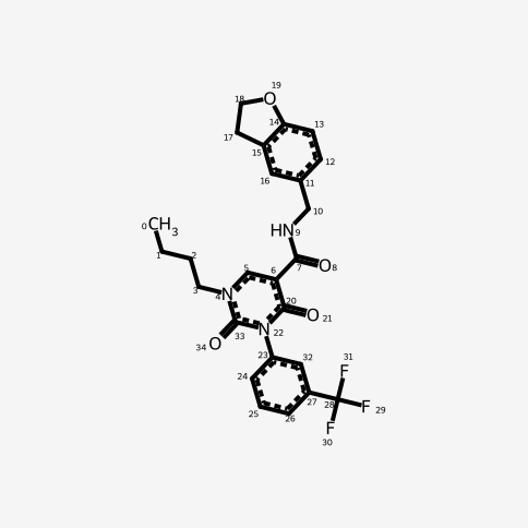 CCCCn1cc(C(=O)NCc2ccc3c(c2)CCO3)c(=O)n(-c2cccc(C(F)(F)F)c2)c1=O